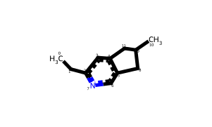 CCc1cc2c(cn1)CC(C)C2